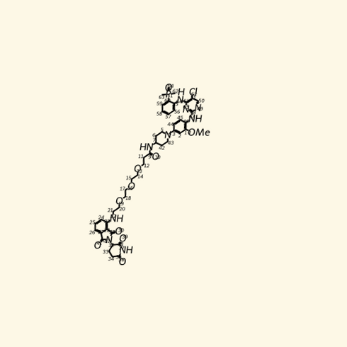 COc1cc(N2CCC(NC(=O)CCOCCOCCOCCNc3cccc4c3C(=O)N(C3CCC(=O)NC3=O)C4=O)CC2)ccc1Nc1ncc(Cl)c(Nc2ccccc2P(C)(C)=O)n1